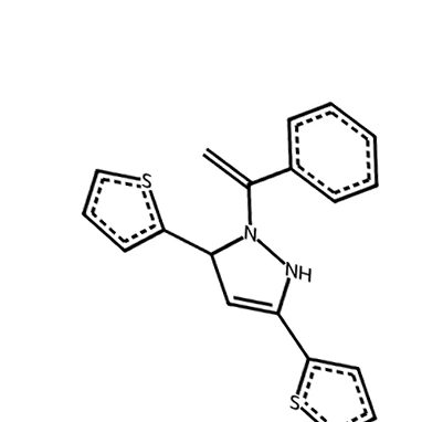 C=C(c1ccccc1)N1NC(c2cccs2)=CC1c1cccs1